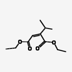 CCOC(=O)/C=C(\C(=O)OCC)C(C)C